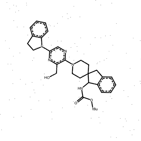 CC(C)(C)OC(=O)NC1c2ccccc2CC12CCN(c1ncc(N3CCc4ccccc43)nc1CO)CC2